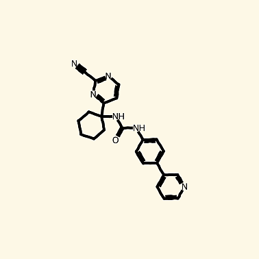 N#Cc1nccc(C2(NC(=O)Nc3ccc(-c4cccnc4)cc3)CCCCC2)n1